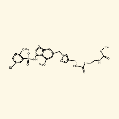 CCc1ccc(OC)c(S(=O)(=O)Nc2noc3cc(Cn4cc(CNC(=O)OCCNC(=O)OC(C)(C)C)cn4)cc(OC)c23)c1